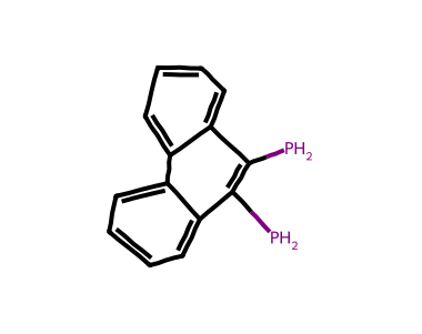 Pc1c(P)c2ccccc2c2ccccc12